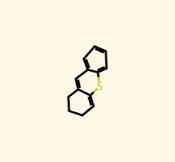 C1=C2CCCC=C2Sc2ccccc21